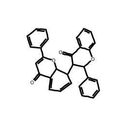 O=C1C=C(c2ccccc2)OC2C1=CC=CC2C1C(=O)c2ccccc2OC1c1ccccc1